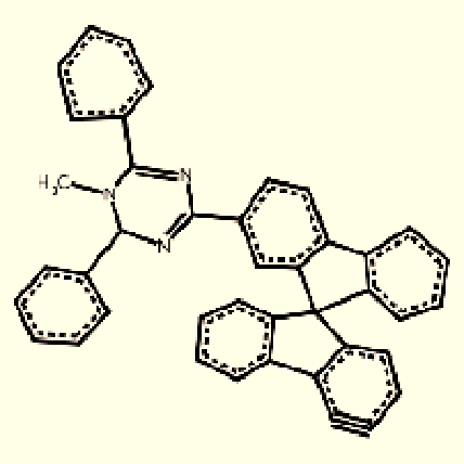 CN1C(c2ccccc2)=NC(c2ccc3c(c2)C2(c4ccc#cc4-c4ccccc42)c2ccccc2-3)=NC1c1ccccc1